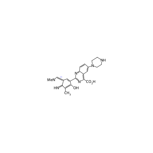 CN/C=C1/C=C(c2nc(C(=O)O)c3cc(N4CCNCC4)ccc3n2)C(O)=C(C)C1=N